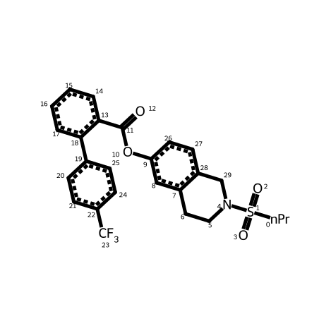 CCCS(=O)(=O)N1CCc2cc(OC(=O)c3ccccc3-c3ccc(C(F)(F)F)cc3)ccc2C1